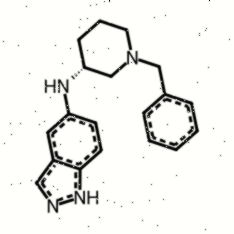 c1ccc(CN2CCC[C@@H](Nc3ccc4[nH]ncc4c3)C2)cc1